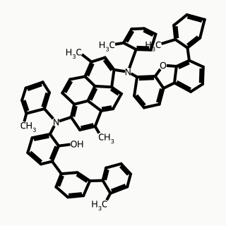 Cc1ccccc1-c1cccc(-c2cccc(N(c3ccccc3C)c3cc(C)c4ccc5c(N(c6ccccc6C)c6cccc7c6oc6c(-c8ccccc8C)cccc67)cc(C)c6ccc3c4c65)c2O)c1